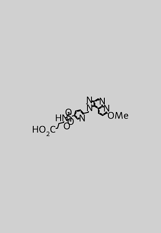 COc1ccc2c(ncc3ncn(Cc4ccc(S(=O)(=O)NC(=O)CCC(=O)O)cn4)c32)n1